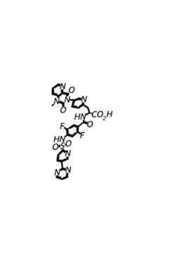 Cn1c(=O)n(-c2ccc(C[C@H](NC(=O)c3cc(F)c(NS(=O)(=O)c4ccc(-c5ncccn5)cn4)cc3F)C(=O)O)nc2)c(=O)c2ncccc21